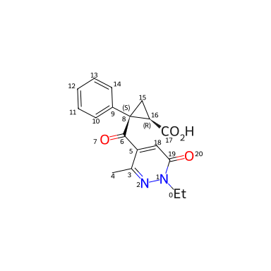 CCn1nc(C)c(C(=O)[C@@]2(c3ccccc3)C[C@H]2C(=O)O)cc1=O